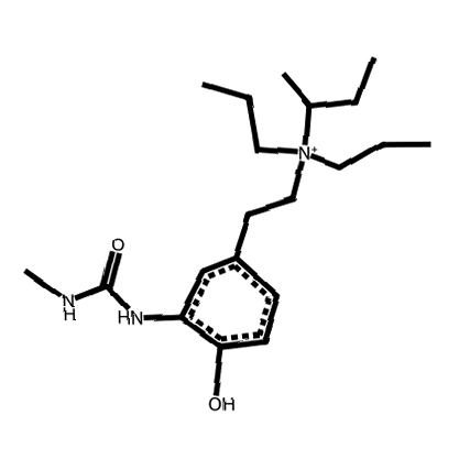 CCC[N+](CCC)(CCc1ccc(O)c(NC(=O)NC)c1)C(C)CC